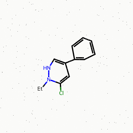 CCN1NC=C(c2ccccc2)C=C1Cl